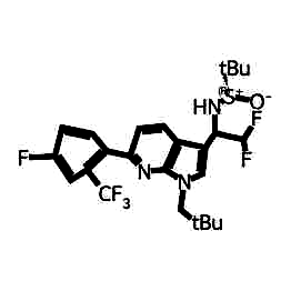 CC(C)(C)Cn1cc(C(N[S@@+]([O-])C(C)(C)C)C(F)F)c2ccc(-c3ccc(F)cc3C(F)(F)F)nc21